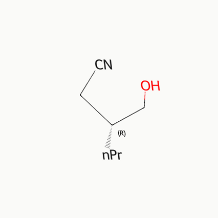 CCC[C@@H](CO)CC#N